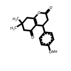 COc1ccc(C2CC(=O)OC3=C2C(=O)CC(C)(C)C3)cc1